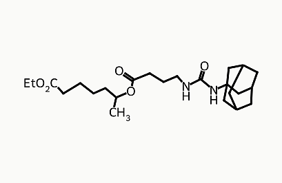 CCOC(=O)CCCCC(C)OC(=O)CCCNC(=O)NC12CC3CC(CC(C3)C1)C2